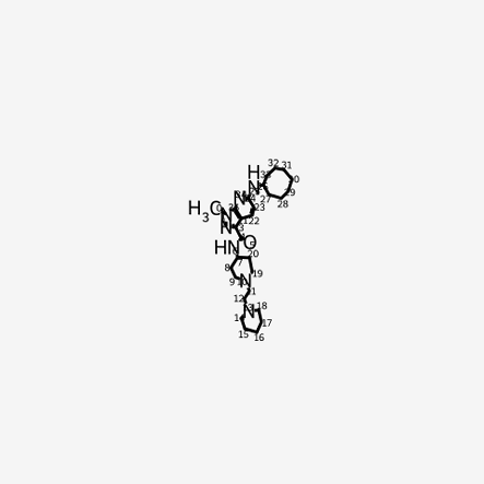 Cn1nc(C(=O)NC2CCN(CCN3CCCCC3)CC2)c2ccc(NC3CCCCCCC3)nc21